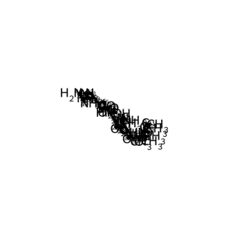 CC(C)[C@H](NC(=O)OC(C)(C)C)C(=O)N[C@@H](C)C(=O)Nc1ccc(C(=O)NCCC[C@H](NC(=O)c2ccc(CCc3cnc4nc(N)nc(N)c4n3)cc2O)C(=O)O)c(-c2nnn[nH]2)c1